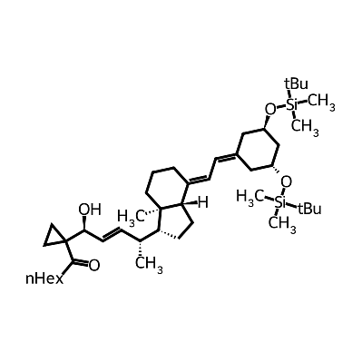 CCCCCCC(=O)C1([C@@H](O)/C=C/[C@@H](C)[C@H]2CC[C@H]3/C(=C/C=C4C[C@@H](O[Si](C)(C)C(C)(C)C)C[C@H](O[Si](C)(C)C(C)(C)C)C4)CCC[C@]23C)CC1